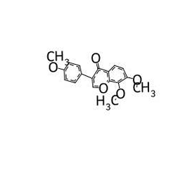 COc1ccc(-c2coc3c(OC)c(OC)ccc3c2=O)cc1